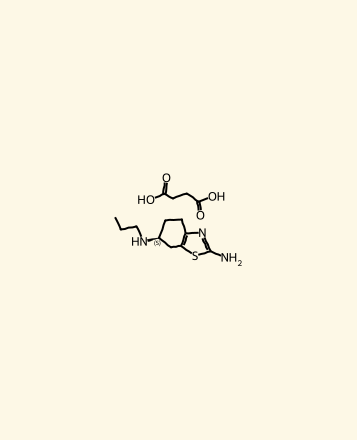 CCCN[C@H]1CCc2nc(N)sc2C1.O=C(O)CCC(=O)O